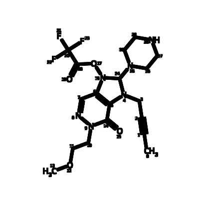 CC#CCN1c2c(cnn(CCOC)c2=O)N(OC(=O)C(F)(F)F)C1N1CCNCC1